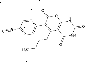 [C-]#[N+]c1ccc(-c2c(CCCC)c3c(=O)[nH]c(=O)[nH]c3oc2=O)cc1